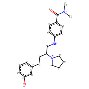 CCN(CC)C(=O)c1ccc(NCC(CCc2cccc(O)c2)N2CCCC2)cc1